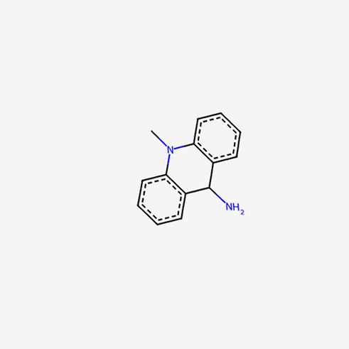 CN1c2ccccc2C(N)c2ccccc21